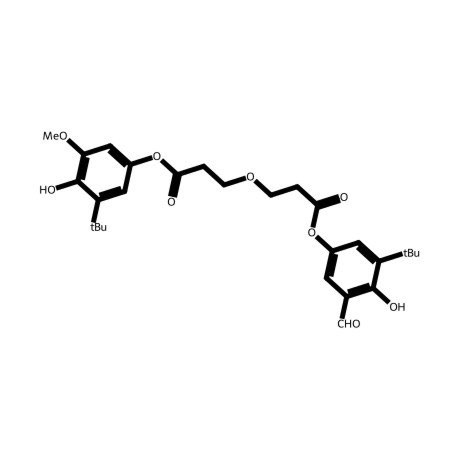 COc1cc(OC(=O)CCOCCC(=O)Oc2cc(C=O)c(O)c(C(C)(C)C)c2)cc(C(C)(C)C)c1O